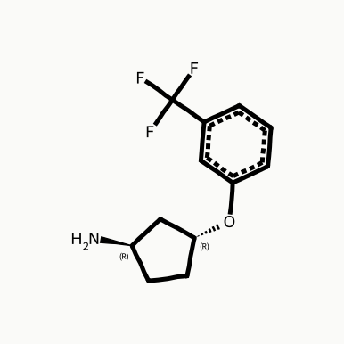 N[C@@H]1CC[C@@H](Oc2cccc(C(F)(F)F)c2)C1